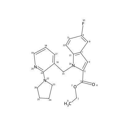 CCOC(=O)c1cc2cc(F)ccc2n1Cc1cccnc1N1CCCC1